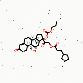 CCCOC(=O)O[C@]1(C(=O)COC(=O)CCC2CCCC2)CC[C@H]2[C@@H]3CCC4=CC(=O)CC[C@]4(C)[C@H]3[C@@H](O)C[C@@]21C